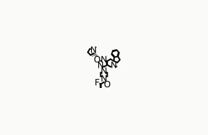 C=C(F)C(=O)N1CCN(c2nc(OC[C@@H]3CCCN3C)nc3c2CN(C)C2(CCc4ccccc42)C3)CC1